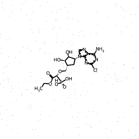 CCOC(=O)[C@H](OC[C@H]1C[C@@H](n2cnc3c(N)nc(Cl)nc32)[C@H](O)[C@@H]1O)P(=O)(O)O